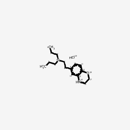 CCCN(CCC)CCc1ccc2c(c1)NCCO2.Cl